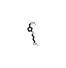 [CH2]CC1C[CH]C(OCCCCC)C1